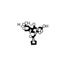 CC1(C)Cc2c(sc3c2c(=O)n(CC(=O)O)c(=O)n3CC(=O)N2CCCC2)CO1